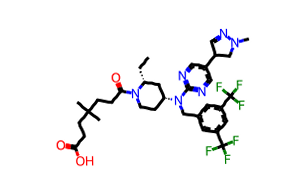 CC[C@@H]1C[C@H](N(Cc2cc(C(F)(F)F)cc(C(F)(F)F)c2)c2ncc(C3C=NN(C)C3)cn2)CCN1C(=O)CCC(C)(C)CCC(=O)O